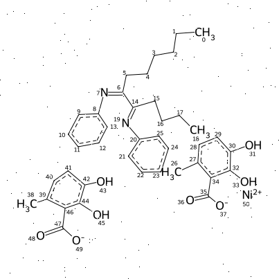 CCCCCCC(=Nc1ccccc1)C(CCCC)=Nc1ccccc1.Cc1ccc(O)c(O)c1C(=O)[O-].Cc1ccc(O)c(O)c1C(=O)[O-].[Ni+2]